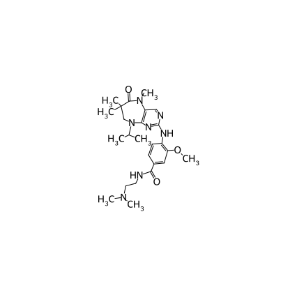 COc1cc(C(=O)NCCN(C)C)ccc1Nc1ncc2c(n1)N(C(C)C)CC(C)(C)C(=O)N2C